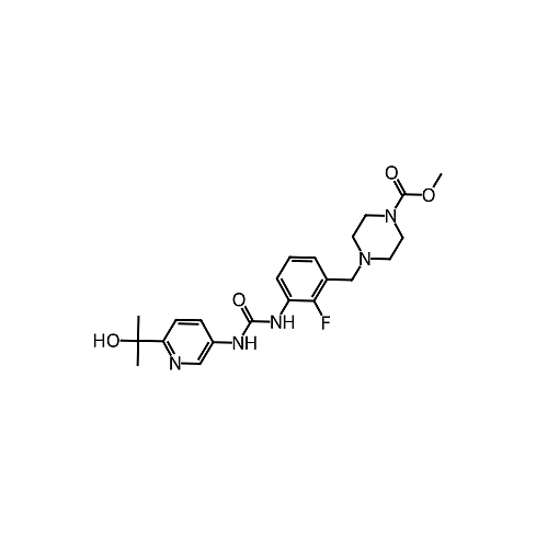 COC(=O)N1CCN(Cc2cccc(NC(=O)Nc3ccc(C(C)(C)O)nc3)c2F)CC1